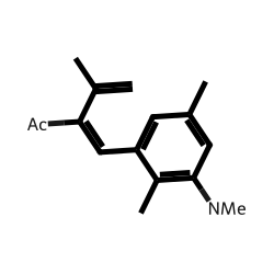 C=C(C)/C(=C\c1cc(C)cc(NC)c1C)C(C)=O